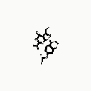 CC[C@@H](c1ccc(OC(F)F)cc1F)n1nc(CF)c2c(=O)[nH]c(N(C)C)nc21